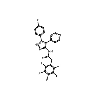 O=C(Cc1c(F)c(F)c(F)c(F)c1F)Nc1n[nH]c(-c2ccc(F)cc2)c1-c1ccncc1